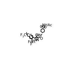 CCn1nc(C(=O)NC[C@H]2CC[C@H](S(=O)(=O)NC(C)=O)CC2)c(Cl)c1-c1cnc(CC(C)(C)C(F)(F)F)cc1OC(F)F